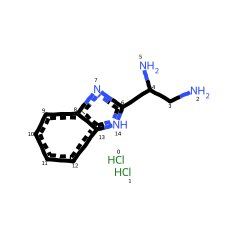 Cl.Cl.NCC(N)c1nc2ccccc2[nH]1